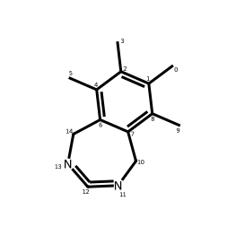 Cc1c(C)c(C)c2c(c1C)CN=C=NC2